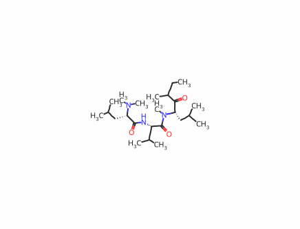 CCC(C)C(=O)[C@H](CC(C)C)N(C)C(=O)[C@@H](NC(=O)[C@H](CC(C)C)N(C)C)C(C)C